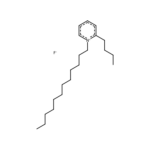 CCCCCCCCCCCC[n+]1ccccc1CCCC.[F-]